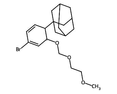 COCCOCO[C]1C=C(Br)C=CC1C12CC3CC(CC(C3)C1)C2